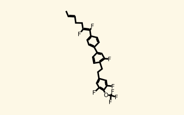 C/C=C/CC/C(F)=C(\F)c1ccc(-c2ccc(CCc3cc(F)c(OC(F)(F)F)c(F)c3)c(F)c2)cc1